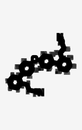 N#CCCc1ccccc1-c1ccc(Oc2ccc(-c3ccccc3CCC#N)cc2)cc1